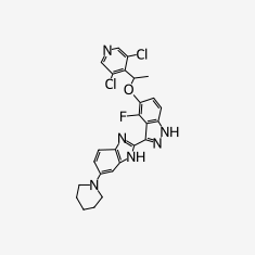 CC(Oc1ccc2[nH]nc(-c3nc4ccc(N5CCCCC5)cc4[nH]3)c2c1F)c1c(Cl)cncc1Cl